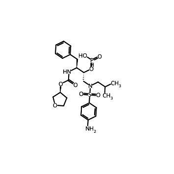 CC(C)CN(C[C@@H](O[PH](=O)O)[C@H](Cc1ccccc1)NC(=O)O[C@H]1CCOC1)S(=O)(=O)c1ccc(N)cc1